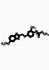 COC(=O)Nc1ccc(OCc2nc3ccc(OC)cc3s2)cc1C